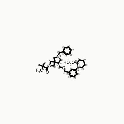 CC(C)(C(=O)N1CC2(CN(Cc3ccccc3)C[C@H]2COCc2cccc(N3CCCC[C@@H]3C(=O)O)c2)C1)C(F)(F)F